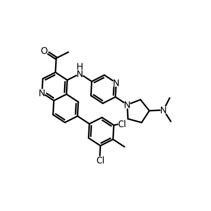 CC(=O)c1cnc2ccc(-c3cc(Cl)c(C)c(Cl)c3)cc2c1Nc1ccc(N2CCC(N(C)C)C2)nc1